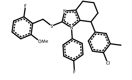 COc1cccc(F)c1CSc1nc2c(n1-c1ccc(F)cc1)C(c1ccc(Cl)c(C)c1)CCC2